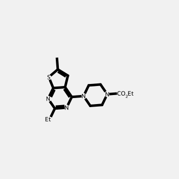 CCOC(=O)N1CCN(c2nc(CC)nc3sc(C)cc23)CC1